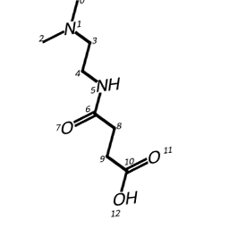 CN(C)CCNC(=O)CCC(=O)O